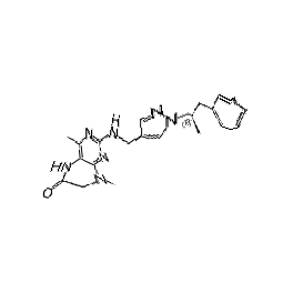 Cc1nc(NCc2cnn([C@H](C)Cc3ccccc3)c2)nc2c1NC(=O)CN2C